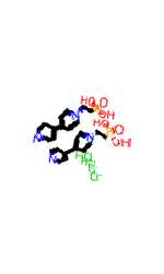 Cl.Cl.O=P(O)(O)CC[n+]1ccc(-c2ccncc2)cc1.O=P(O)(O)CC[n+]1ccc(-c2ccncc2)cc1.[Cl-].[Cl-]